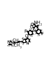 CC(C)(C#Cc1cc2nccc(Oc3ccc(N(C(=O)C4(C(N)=O)CC4)c4ccc(F)cc4)cc3F)c2s1)n1ccnc1